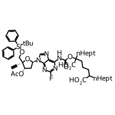 C#C[C@]1(CO[Si](c2ccccc2)(c2ccccc2)C(C)(C)C)O[C@@H](n2cnc3c(NC(=O)OC(CCCCCCC)(CCCC(CCCCCCC)C(=O)O)C(=O)O)nc(F)nc32)C[C@@H]1OC(C)=O